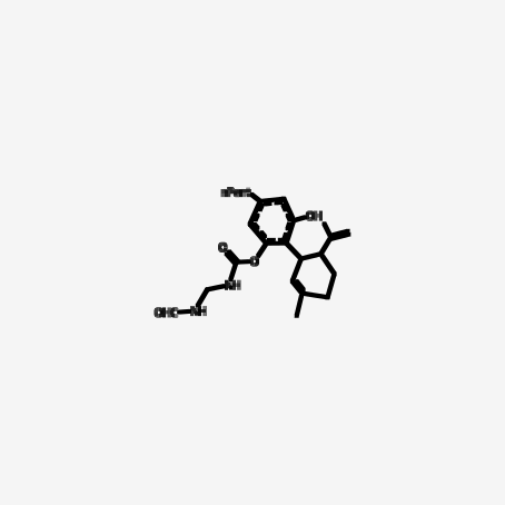 C=C(C)C1CCC(C)=CC1c1c(O)cc(CCCCC)cc1OC(=O)NCNC=O